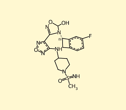 CS(=N)(=O)N1CCC(Nc2nonc2C2=NOC(O)N2[C@H]2Cc3ccc(F)cc32)CC1